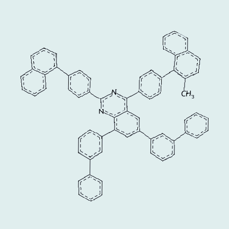 Cc1ccc2ccccc2c1-c1ccc(-c2nc(-c3ccc(-c4cccc5ccccc45)cc3)nc3c(-c4cccc(-c5ccccc5)c4)cc(-c4cccc(-c5ccccc5)c4)cc23)cc1